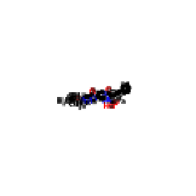 CC(C)(CCc1ccccc1)[C@@H](NC(=O)O)C(=O)N1CCC(N2CN3CN(CO[Si](C)(C)C(C)(C)C)C=C3C2=O)CC1